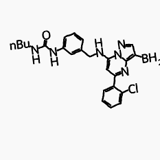 Bc1cnn2c(NCc3cccc(NC(=O)NCCCC)c3)cc(-c3ccccc3Cl)nc12